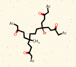 CC(=O)CC(=O)CCC(C)(C[CH]CC(Br)(CCC(=O)CC(C)=O)CCC(=O)CC(C)=O)CCC(=O)CC(C)=O